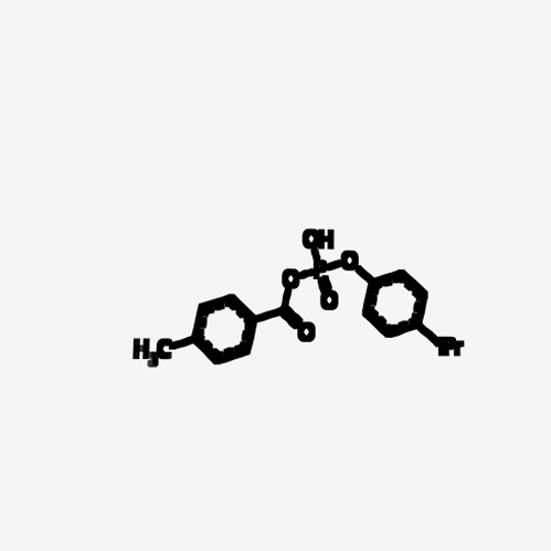 Cc1ccc(C(=O)OP(=O)(O)Oc2ccc(C(C)C)cc2)cc1